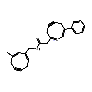 C/C1=C/C(CNC(=O)C/C2=N/C=C(/c3ccccc3)CC#CC2)=C\CC#CC1